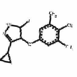 Cc1cc(OC2C(C3CC3)=NNC2I)cc(C)c1C#N